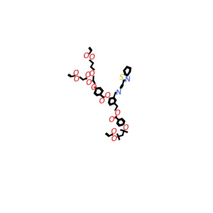 C=CC(=O)OCCCCOCC(COc1ccc(C(=O)Oc2ccc(CCOC(=O)c3ccc(OC(C)(C)CC(C)(C)OC(=O)C=C)cc3)cc2/C=N/C#Cc2nc3ccccc3s2)cc1)OC(=O)CCOC(=O)C=C